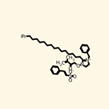 C=C(C)C(=O)CON1CC[N+](Cc2ccccc2)=C1CCCCCCCCCCCCCCCC(C)C.O=S(=O)([O-])C=Cc1ccccc1